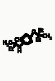 CCC(C)(C)Nc1ccc(OC(C)(CC)CC)cc1